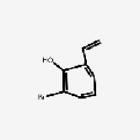 C=Cc1cccc(Br)c1O